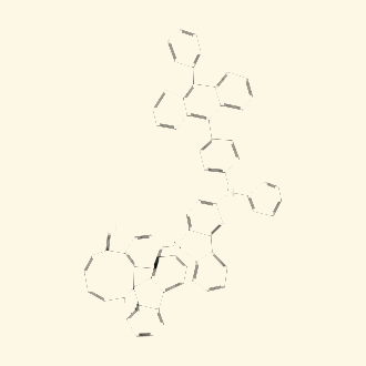 C=C1/C=C\C=C/C(C)C2(c3cc(-n4c5ccccc5c5cc(N(c6ccccc6)c6ccc(-c7c8ccccc8c(-c8ccccc8)c8ccccc78)cc6)ccc54)ccc31)c1ccccc1-c1ccccc12